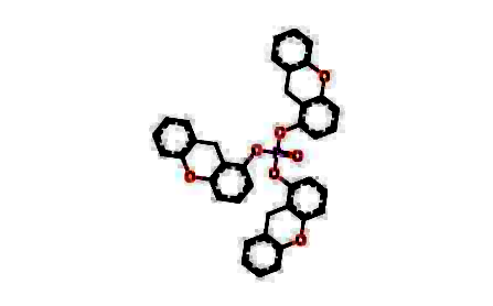 O=P(Oc1cccc2c1Cc1ccccc1O2)(Oc1cccc2c1Cc1ccccc1O2)Oc1cccc2c1Cc1ccccc1O2